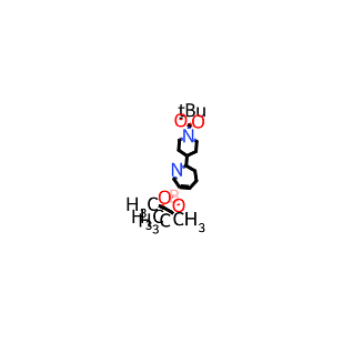 CC(C)(C)OC(=O)N1CCC(C2CCC=C(B3OC(C)(C)C(C)(C)O3)C=N2)CC1